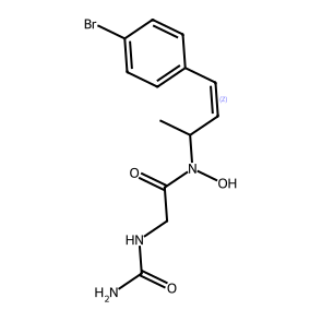 CC(/C=C\c1ccc(Br)cc1)N(O)C(=O)CNC(N)=O